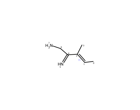 C/C=C(\C)C(=N)CN